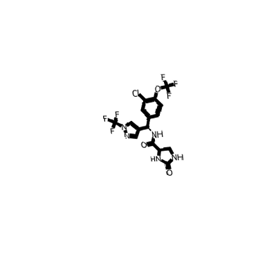 O=C1NCC(C(=O)N[C@@H](c2ccc(OC(F)(F)F)c(Cl)c2)c2cnn(C(F)(F)F)c2)N1